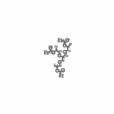 CCC(=O)OC(C)COCC(COCC(C)OC(=O)CC)OCC(C)OC(=O)CC